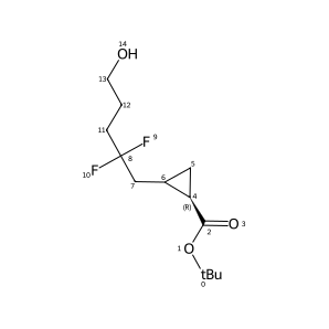 CC(C)(C)OC(=O)[C@@H]1CC1CC(F)(F)CCCO